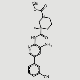 CC(C)(C)OC(=O)N1CCCC(F)(C(=O)Nc2ncc(-c3cccc(C#N)c3)cc2N)C1